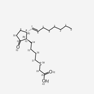 CCCCCCC=C[C@H]1CCC(=O)[C@@H]1CCCCSCC(=O)O